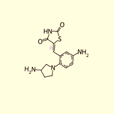 Nc1ccc(N2CCC(N)C2)c(/C=C2\SC(=O)NC2=O)c1